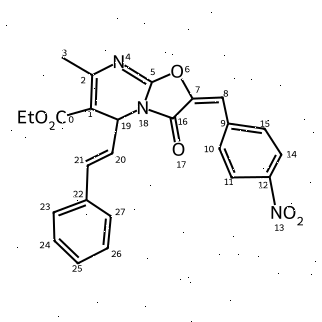 CCOC(=O)C1=C(C)N=c2o/c(=C/c3ccc([N+](=O)[O-])cc3)c(=O)n2C1/C=C/c1ccccc1